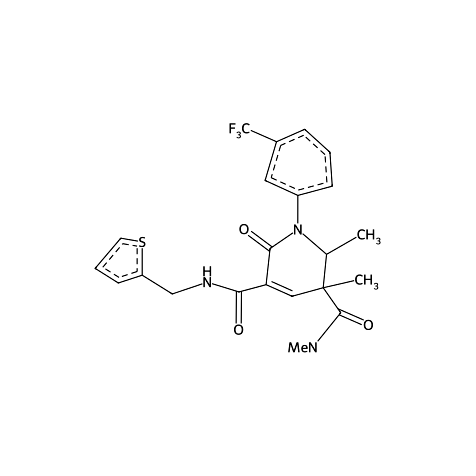 CNC(=O)C1(C)C=C(C(=O)NCc2cccs2)C(=O)N(c2cccc(C(F)(F)F)c2)C1C